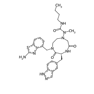 CCCCNC(=O)N(C)N1CCN(Cc2cccc3sc(N)nc23)C(=O)[C@H](Cc2ccc3[nH]ncc3c2)NC(=O)C1